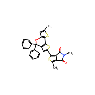 Cc1cc2c(s1)-c1sc(-c3sc(C)c4c3C(=O)N(C)C4=O)cc1C(c1ccccc1)(c1ccccc1)O2